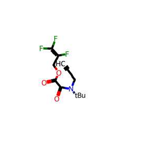 C#CCN(C(=O)C(=O)OCC(F)=C(F)F)C(C)(C)C